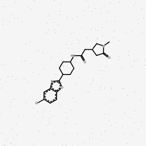 CN1CC(CC(=O)NC2CCC(c3nc4cc(Cl)ccc4o3)CC2)CC1=O